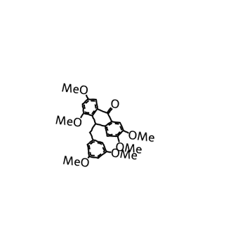 COc1cc(CC2c3cc(OC)c(OC)cc3C(=O)c3cc(OC)cc(OC)c32)cc(OC)c1